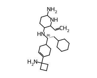 C=CC1NC(N)CCC1N[C@H](CC1CCCCC1)C1CC=C(C2(N)CCC2)CC1